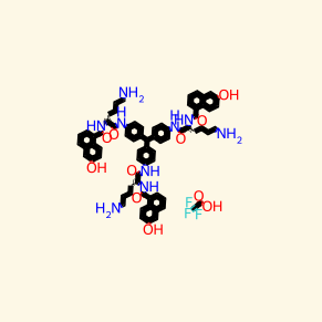 NCCCC[C@@H](NC(=O)c1cccc2cc(O)ccc12)C(=O)Nc1ccc(C(c2ccc(NC(=O)[C@@H](CCCCN)NC(=O)c3cccc4cc(O)ccc34)cc2)c2ccc(NC(=O)[C@@H](CCCCN)NC(=O)c3cccc4cc(O)ccc34)cc2)cc1.O=C(O)C(F)(F)F